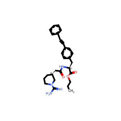 CCCOC(=O)[C@H](Cc1ccc(C#Cc2ccccc2)cc1)NC(=O)C[C@H]1CCCN(C(=N)N)C1